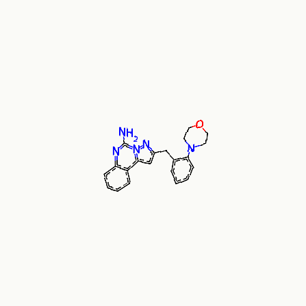 Nc1nc2ccccc2c2cc(Cc3ccccc3N3CCOCC3)nn12